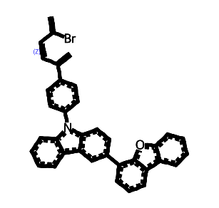 C=C(Br)/C=C\C(=C)c1ccc(-n2c3ccccc3c3cc(-c4cccc5c4oc4ccccc45)ccc32)cc1